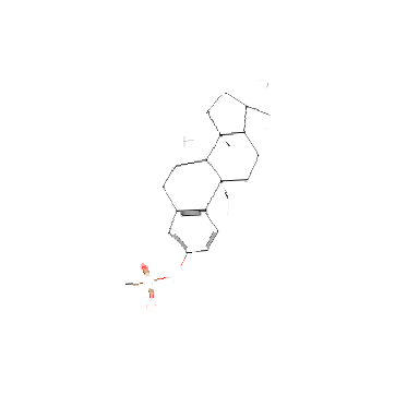 CC[C@@]1(C)CC[C@H]2[C@@H]3CCc4cc(OS(C)(=O)=O)ccc4[C@H]3CC[C@@]21C